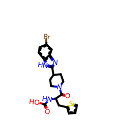 O=C(O)NC(Cc1cccs1)C(=O)N1CCC(c2nc3cc(Br)ccc3[nH]2)CC1